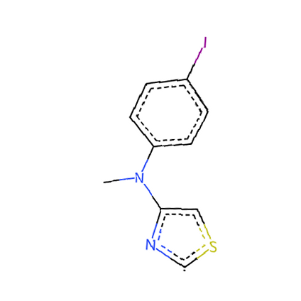 CN(c1ccc(I)cc1)c1cs[c]n1